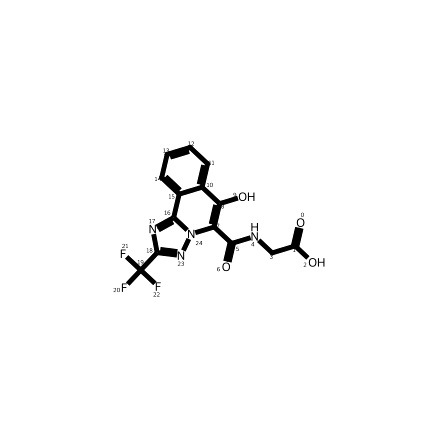 O=C(O)CNC(=O)c1c(O)c2ccccc2c2nc(C(F)(F)F)nn12